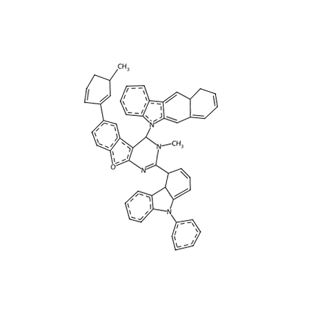 CC1C=C(c2ccc3oc4c(c3c2)C(n2c3c(c5ccccc52)=CC2CC=CC=C2C=3)N(C)C(C2C=CC=C3C2c2ccccc2N3c2ccccc2)=N4)C=CC1